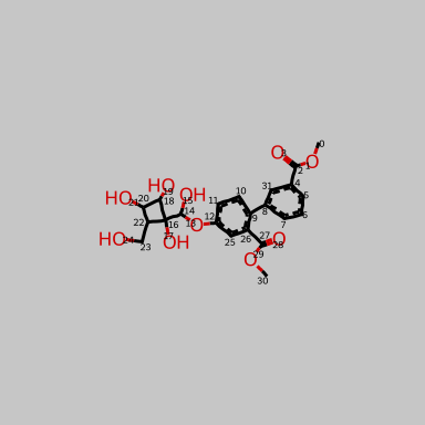 COC(=O)c1cccc(-c2ccc(OC(O)C3(O)C(O)C(O)C3CO)cc2C(=O)OC)c1